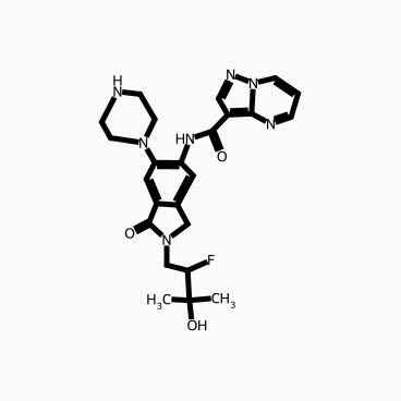 CC(C)(O)C(F)CN1Cc2cc(NC(=O)c3cnn4cccnc34)c(N3CCNCC3)cc2C1=O